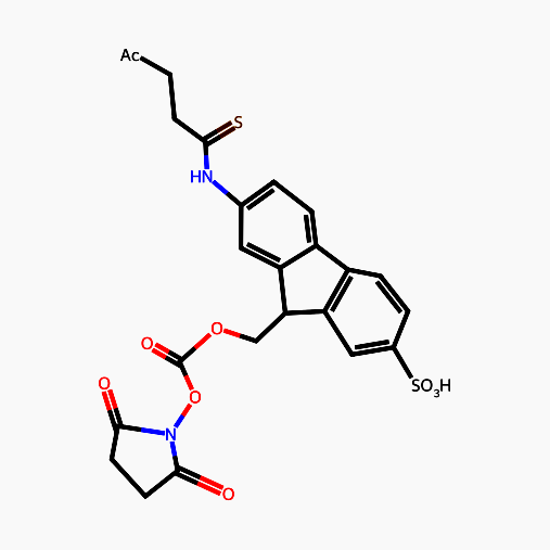 CC(=O)CCC(=S)Nc1ccc2c(c1)C(COC(=O)ON1C(=O)CCC1=O)c1cc(S(=O)(=O)O)ccc1-2